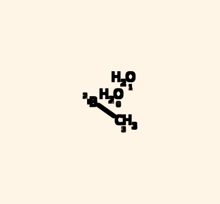 O.O.[B]C